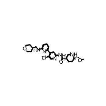 COC[C@@H]1CC[C@@H](C(=O)Nc2cc(-c3cccc(NCC4CCOCC4)n3)c(Cl)cn2)CN1